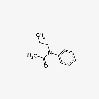 CCCN(C(C)=O)c1ccccc1